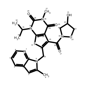 Cc1cc2cccnc2n1Cc1sc2c(c1C(=O)N1CC(O)CO1)c(=O)n(C)c(=O)n2C(C)C